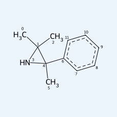 CC1(C)NC1(C)c1ccccc1